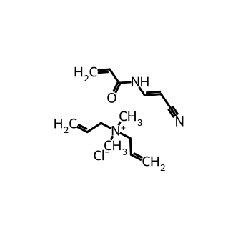 C=CC(=O)NC=CC#N.C=CC[N+](C)(C)CC=C.[Cl-]